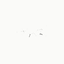 CN1CN(C(=O)OC(C)(C)C)CC1=O